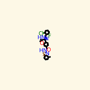 Cc1cccc2sc(NC(=O)c3ccc4c(c3)OC(C)(C)c3[nH]c(-c5c(F)cccc5Cl)nc3-4)nc12